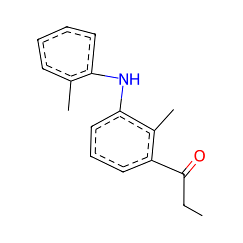 CCC(=O)c1cccc(Nc2ccccc2C)c1C